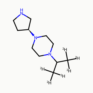 [2H]C([2H])([2H])C(N1CCN([C@H]2CCNC2)CC1)C([2H])([2H])[2H]